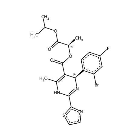 CC1=C(C(=O)O[C@H](C)C(=O)OC(C)C)[C@@H](c2ccc(F)cc2Br)N=C(c2nccs2)N1